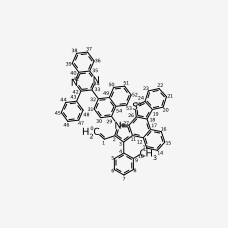 C=Cc1c(-c2ccccc2C)c2c3ccccc3c3c4ccccc4sc3c2n1-c1ccc(-c2nc3ccccc3nc2-c2ccccc2)c2ccccc12